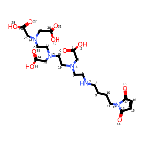 O=C(O)CN(CCNCCCCN1C(=O)C=CC1=O)CCN(CCN(CC(=O)O)CC(=O)O)CC(=O)O